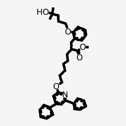 COC(=O)C(CCCCCCOc1cc(-c2ccccc2)cc(-c2ccccc2)n1)Cc1ccccc1OCCCC(C)(C)O